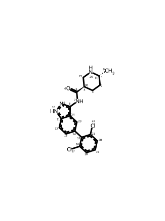 C[C@@H]1CC[C@@H](C(=O)Nc2n[nH]c3ccc(-c4c(Cl)cccc4Cl)cc23)CN1